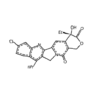 CCCc1c2c(nc3cc(Cl)ccc13)-c1cc3c(c(=O)n1C2)COC(=O)[C@]3(O)CC